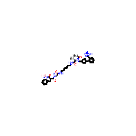 CCCCC(=O)N(Cc1ccc(-c2ccccc2-c2nnn[nH]2)cc1)[C@H](C(=O)NCCCCCCNC(=O)CNC(=O)C(Cc1ccccc1)C(=O)NO)C(C)C